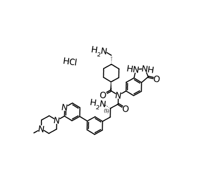 CN1CCN(c2cc(-c3cccc(C[C@H](N)C(=O)N(c4ccc5c(=O)[nH][nH]c5c4)C(=O)[C@H]4CC[C@H](CN)CC4)c3)ccn2)CC1.Cl